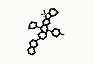 Cc1ccc(-c2c3ccc(-c4ccc5ccccc5c4)cc3c(-c3ccccc3)c3cc4c(cc23)-c2ccccc2[Si]4(C)C)cc1